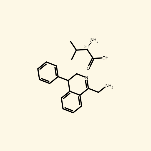 CC(C)[C@H](N)C(=O)O.NCC1=NCC(c2ccccc2)c2ccccc21